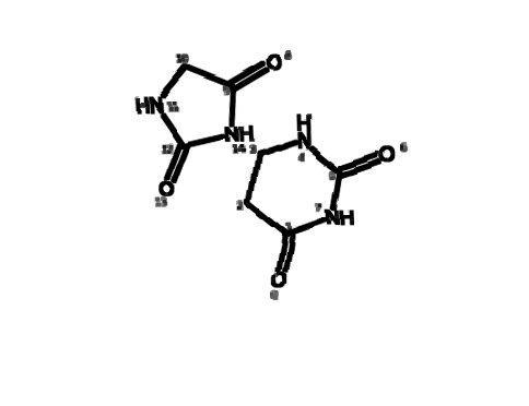 O=C1CCNC(=O)N1.O=C1CNC(=O)N1